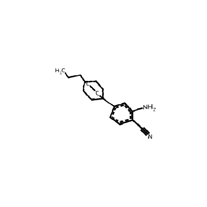 CCCC12CCC(c3ccc(C#N)c(N)c3)(CC1)CC2